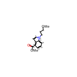 COCCCn1ccc2c(C(=O)OC)cccc21